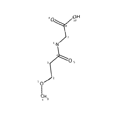 COCCC(=O)[N]CC(=O)O